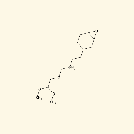 COC(COC[SiH2]CCC1CCC2OC2C1)OC